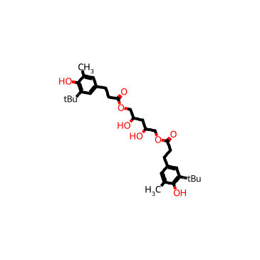 Cc1cc(CCC(=O)OCC(O)CC(O)COC(=O)CCc2cc(C)c(O)c(C(C)(C)C)c2)cc(C(C)(C)C)c1O